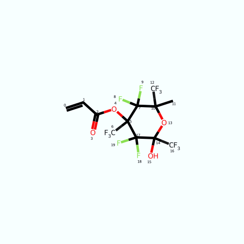 C=CC(=O)OC1(C(F)(F)F)C(F)(F)C(C)(C(F)(F)F)OC(O)(C(F)(F)F)C1(F)F